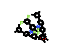 Cc1cc(C)cc(-c2ccc3c4ccc(-c5cc(C)cc(C)c5)cc4n(-c4cc(-c5cc(F)cc(F)c5)cc(-n5c6cc(-c7cc(C)cc(C)c7)ccc6c6ccc(-c7cc(C)cc(C)c7)cc65)c4C(F)(F)F)c3c2)c1